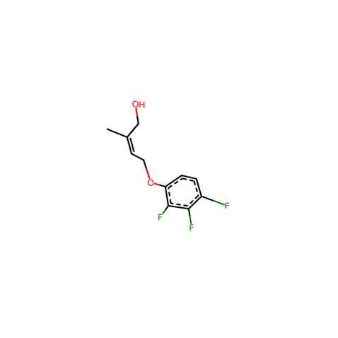 CC(=CCOc1ccc(F)c(F)c1F)CO